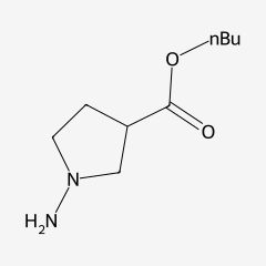 CCCCOC(=O)C1CCN(N)C1